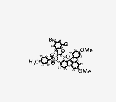 COc1ccc(C(OC[C@H](COS(=O)(=O)c2ccc(C)cc2)Oc2c(Cl)cc(Br)cc2Cl)(c2ccccc2)c2ccc(OC)cc2)cc1